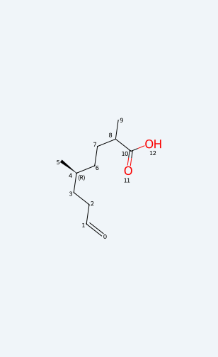 C=CCC[C@@H](C)CCC(C)C(=O)O